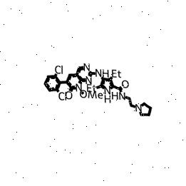 CCc1[nH]c(C(=O)NCCN2CCCC2)c(CC)c1Nc1ncc2cc(-c3c(Cl)cccc3Cl)c(=O)n(OC)c2n1